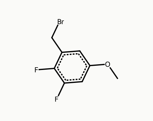 COc1cc(F)c(F)c(CBr)c1